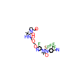 CC(C)(C)C(NC(=O)COCCOc1ncc(N2C(=S)N(c3ccc(C#N)c(C(F)(F)F)c3F)C(=O)C2(C)C)cc1F)C(=O)N1CCCC1C=O